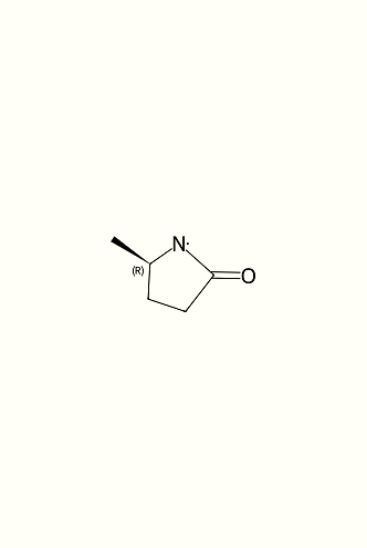 C[C@@H]1CCC(=O)[N]1